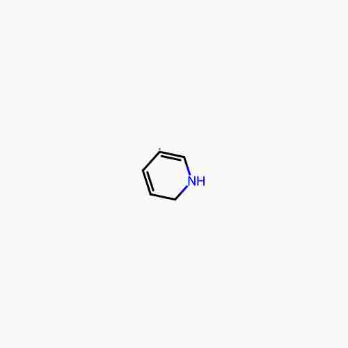 [C]1=CNCC=C1